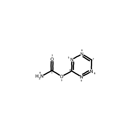 NC(=O)Oc1nncnn1